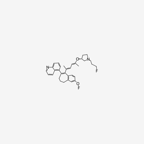 C/C(=C\C=C(/C)C1=C(c2cccc3ncccc23)CCCc2cc(OF)ccc21)O[C@H]1CCN(CCCF)C1